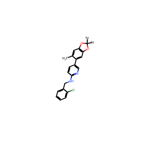 [2H]C1([2H])Oc2cc(C)c(-c3ccc(NCc4ccccc4Cl)nc3)cc2O1